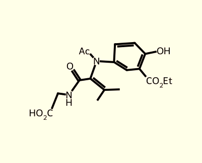 CCOC(=O)c1cc(N(C(C)=O)C(C(=O)NCC(=O)O)=C(C)C)ccc1O